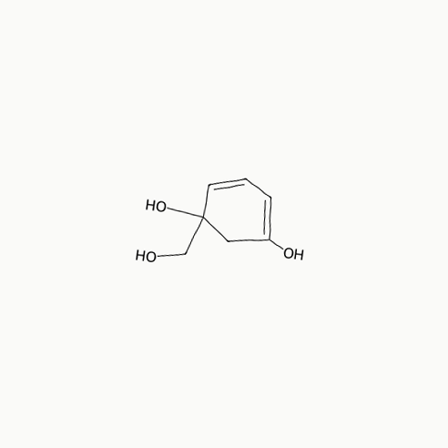 OCC1(O)C=CC=C(O)C1